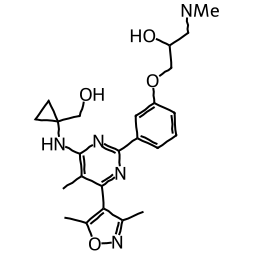 CNCC(O)COc1cccc(-c2nc(NC3(CO)CC3)c(C)c(-c3c(C)noc3C)n2)c1